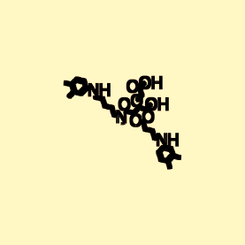 Cc1ccc(NCCCCCN(C)C(=O)C(OCCCCNc2ccc(C)c(C)c2)C(OCC(=O)O)C(=O)O)cc1C